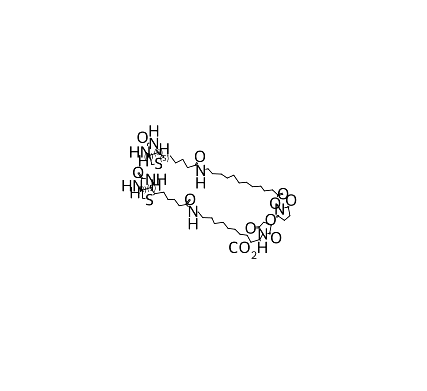 O=C(CCCCC1SC[C@@H]2NC(=O)N[C@H]12)NCCCCCCCCCCC(C(=O)O)N1C(=O)CCC1=O.O=C(CCCC[C@@H]1SC[C@@H]2NC(=O)N[C@@H]21)NCCCCCCCCCCCC(=O)ON1C(=O)CCC1=O